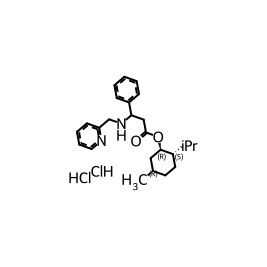 CC(C)[C@@H]1CC[C@@H](C)C[C@H]1OC(=O)CC(NCc1ccccn1)c1ccccc1.Cl.Cl